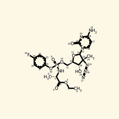 CCOC(=O)[C@H](C)NP(=O)(OC[C@H]1OC(n2ccc(N)nc2=O)[C@](C)(N=[N+]=[N-])[C@@H]1O)Oc1ccc(F)cc1